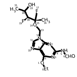 CCOc1nc(NC=O)nc2c1ncn2CO[C@@](C)(F)[C@@H](F)C(C)O